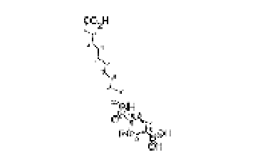 O=C(O)CCCCCCCCCCCNC(=O)c1ccc(B(O)O)cc1F